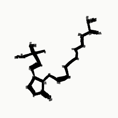 CCCCC[C@](C)(O)/C=C/[C@H]1C=CC(=O)[C@@H]1C/C=C\CCCCOC(=O)NC(C)=O